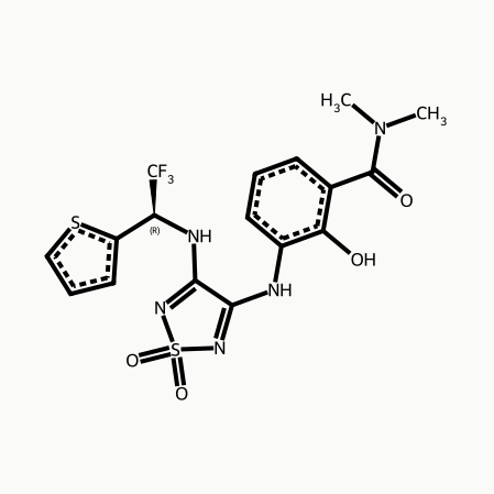 CN(C)C(=O)c1cccc(NC2=NS(=O)(=O)N=C2N[C@@H](c2cccs2)C(F)(F)F)c1O